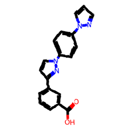 O=C(O)c1cccc(-c2ccn(-c3ccc(-n4cccn4)cc3)n2)c1